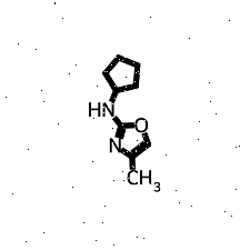 Cc1coc(NC2CCCC2)n1